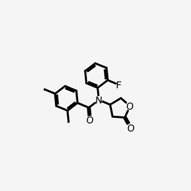 Cc1ccc(C(=O)N(c2ccccc2F)C2COC(=O)C2)c(C)c1